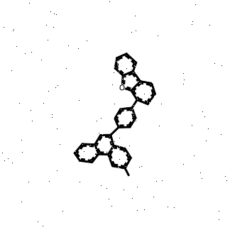 Cc1ccc2c(-c3ccc(-c4cccc5c4oc4ccccc45)cc3)cc3ccccc3c2c1